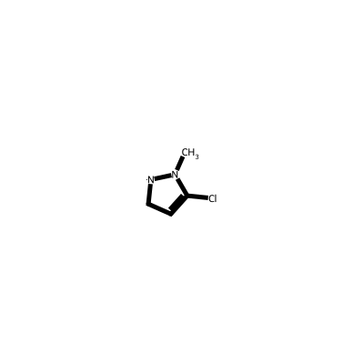 CN1[N]CC=C1Cl